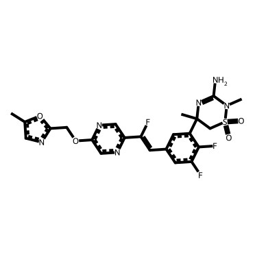 Cc1cnc(COc2cnc(C(F)=Cc3cc(F)c(F)c(C4(C)CS(=O)(=O)N(C)C(N)=N4)c3)cn2)o1